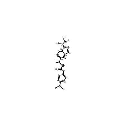 CC(C)c1ccc(CC(=O)NC(C)c2cc3cnn(C(F)C(F)F)c3cn2)cc1